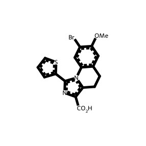 COc1cc2c(cc1Br)-n1c(-c3cccs3)nc(C(=O)O)c1CC2